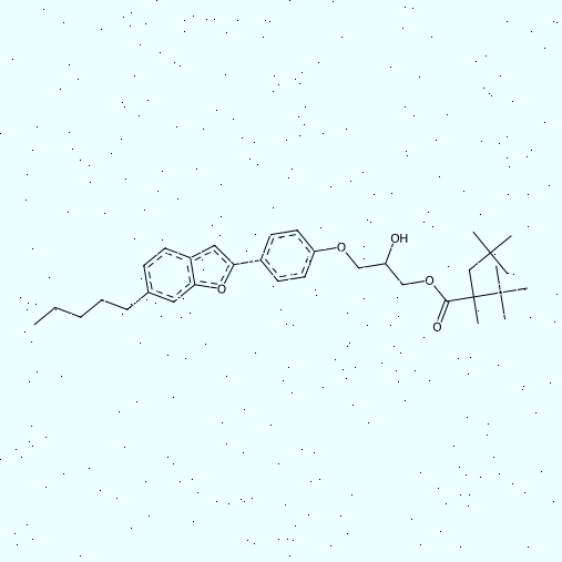 CCCCCc1ccc2cc(-c3ccc(OCC(O)COC(=O)C(C)(CC(C)(C)C)C(C)(C)C)cc3)oc2c1